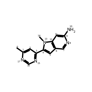 Cc1cc(-c2cc3cnc(N)cc3n2C)ncn1